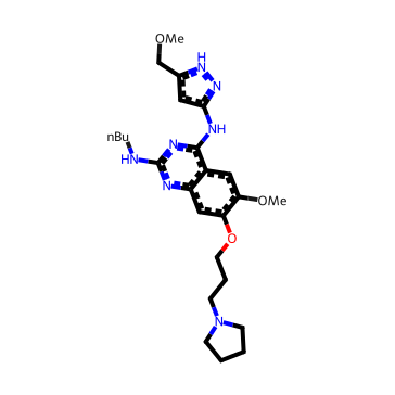 CCCCNc1nc(Nc2cc(COC)[nH]n2)c2cc(OC)c(OCCCN3CCCC3)cc2n1